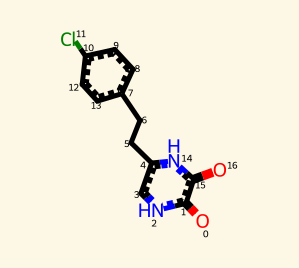 O=c1[nH]cc(CCc2ccc(Cl)cc2)[nH]c1=O